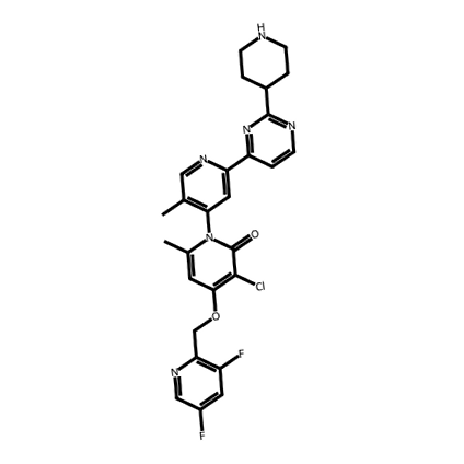 Cc1cnc(-c2ccnc(C3CCNCC3)n2)cc1-n1c(C)cc(OCc2ncc(F)cc2F)c(Cl)c1=O